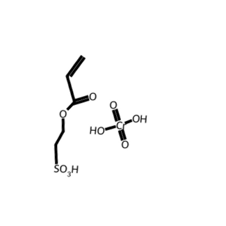 C=CC(=O)OCCS(=O)(=O)O.[O]=[Cr](=[O])([OH])[OH]